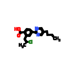 CCCCc1cnc(-c2ccc(C(=O)O)c(C[C@@H](C)Cl)c2)nc1